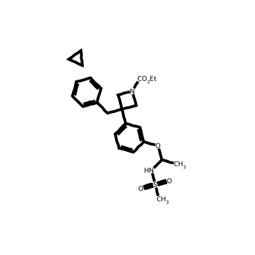 C1CC1.CCOC(=O)N1CC(Cc2ccccc2)(c2cccc(OC(C)NS(C)(=O)=O)c2)C1